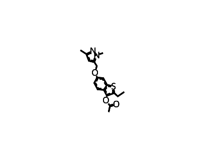 CCc1sc2cc(OCc3cc(C)nn3C)ccc2c1OC(C)=O